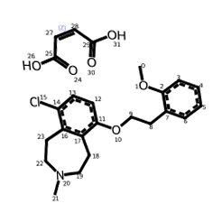 COc1ccccc1CCOc1ccc(Cl)c2c1CCN(C)CC2.O=C(O)/C=C\C(=O)O